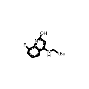 CC(C)(C)CNc1cc(O)nc2c(F)cccc12